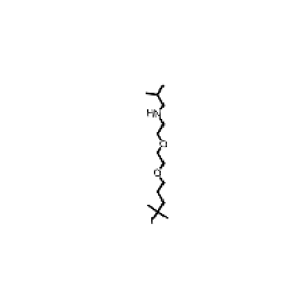 CC(C)CNCCOCCOCCCC(C)(C)I